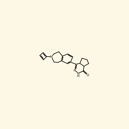 O=C1NN=C(c2ccc3c(c2)CCN(C2=CC=C2)CC3)C2CCCC12